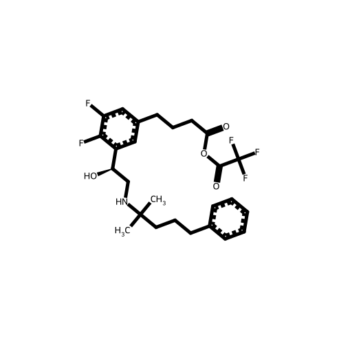 CC(C)(CCCc1ccccc1)NC[C@@H](O)c1cc(CCCC(=O)OC(=O)C(F)(F)F)cc(F)c1F